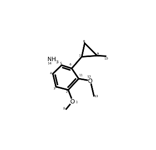 COc1cccc(C2CC2C)c1OC.N